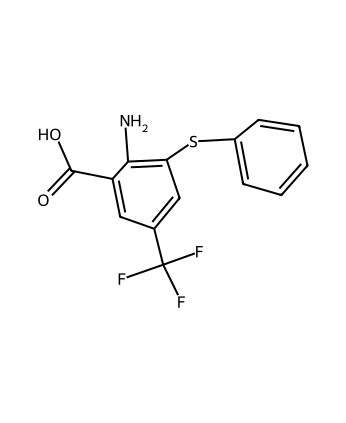 Nc1c(Sc2ccccc2)cc(C(F)(F)F)cc1C(=O)O